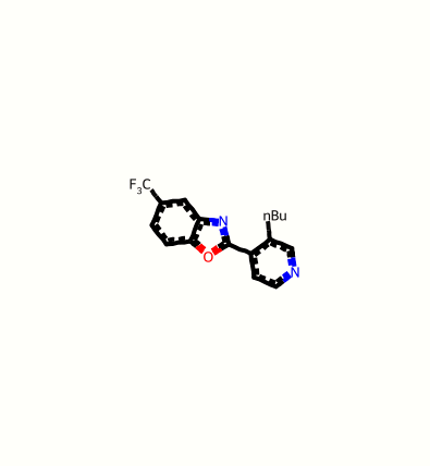 CCCCc1cnccc1-c1nc2cc(C(F)(F)F)ccc2o1